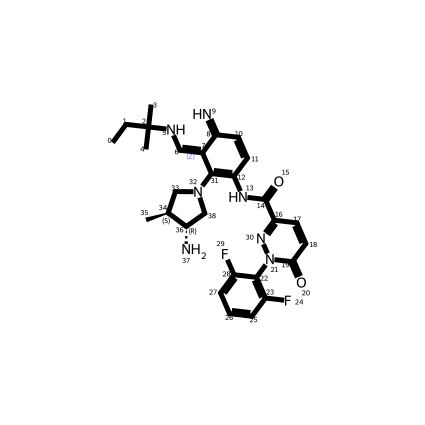 CCC(C)(C)N/C=C1\C(=N)C=CC(NC(=O)c2ccc(=O)n(-c3c(F)cccc3F)n2)=C1N1C[C@H](C)[C@@H](N)C1